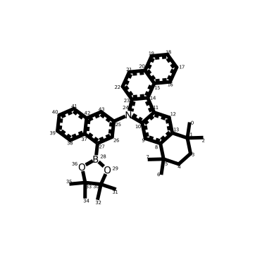 CC1(C)CCC(C)(C)c2cc3c(cc21)c1c2ccccc2ccc1n3-c1cc(B2OC(C)(C)C(C)(C)O2)c2ccccc2c1